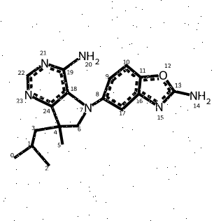 CC(C)CC1(C)CN(c2ccc3oc(N)nc3c2)c2c(N)ncnc21